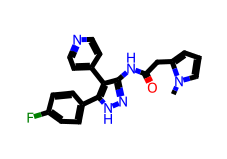 Cn1cccc1CC(=O)Nc1n[nH]c(-c2ccc(F)cc2)c1-c1ccncc1